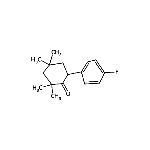 CC1(C)CC(c2ccc(F)cc2)C(=O)C(C)(C)C1